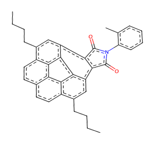 CCCCc1cc2c3c(=O)n(-c4ccccc4C)c(=O)c3c3cc(CCCC)c4ccc5ccc1c1c5c4c3c21